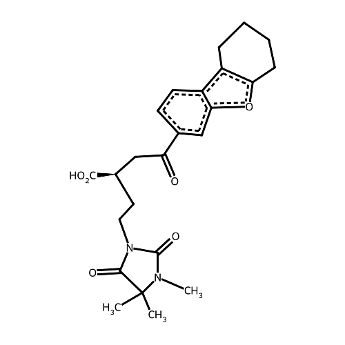 CN1C(=O)N(CC[C@H](CC(=O)c2ccc3c4c(oc3c2)CCCC4)C(=O)O)C(=O)C1(C)C